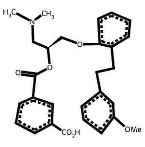 COc1cccc(CCc2ccccc2OC[C@H](CN(C)C)OC(=O)c2cccc(C(=O)O)c2)c1